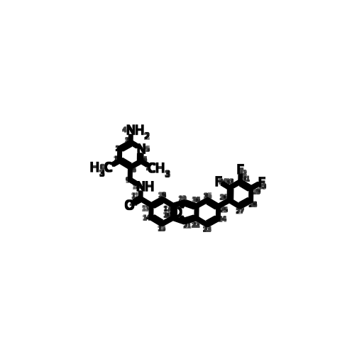 Cc1cc(N)nc(C)c1CNC(=O)c1ccc2c(c1)c1oc2c2ccc(-c3ccc(F)c(F)c3F)cc21